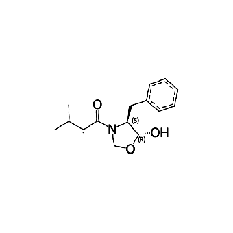 CC(C)[CH]C(=O)N1CO[C@@H](O)[C@@H]1Cc1ccccc1